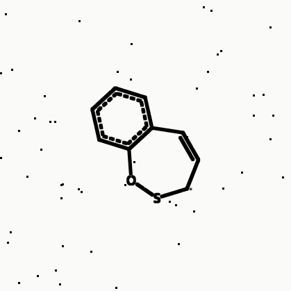 [CH]1C=Cc2ccccc2OS1